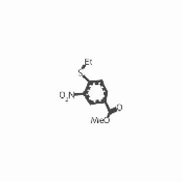 CCSc1ccc(C(=O)OC)cc1[N+](=O)[O-]